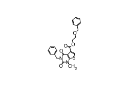 Cn1c(=O)n(Cc2ccccc2)c(=O)c2c(C(=O)OCCOCc3ccccc3)csc21